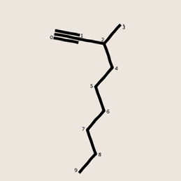 C#CC([CH2])CCCCCC